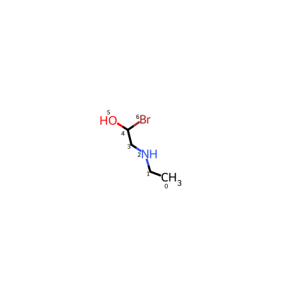 CCNCC(O)Br